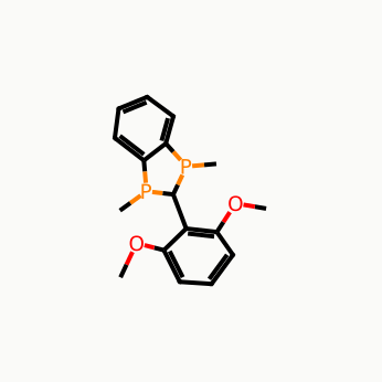 COc1cccc(OC)c1C1P(C)c2ccccc2P1C